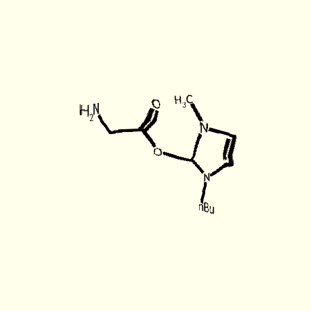 CCCCN1C=CN(C)C1OC(=O)CN